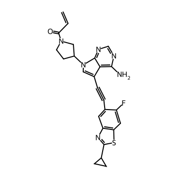 C=CC(=O)N1CCC(n2cc(C#Cc3cc4nc(C5CC5)sc4cc3F)c3c(N)ncnc32)C1